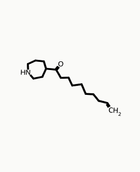 C=CCCCCCCCC(=O)C1CCCNCC1